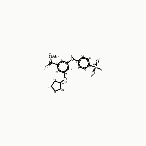 COC(=O)c1cc(Oc2ccc(S(C)(=O)=O)cc2)cc(OC2CCCC2)c1